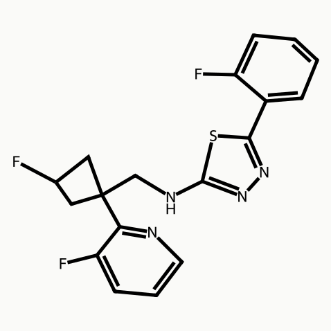 Fc1ccccc1-c1nnc(NCC2(c3ncccc3F)CC(F)C2)s1